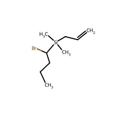 C=CC[Si](C)(C)C(Br)CCC